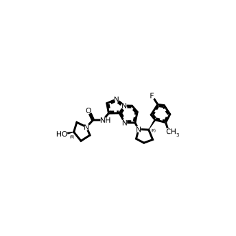 Cc1ccc(F)cc1[C@H]1CCCN1c1ccn2ncc(NC(=O)N3CC[C@@H](O)C3)c2n1